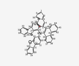 c1ccc2cc(-c3c(N(c4ccc5c(c4)oc4ccccc45)c4cccc5c4sc4ccccc45)c4ccccc4c4ccccc34)ccc2c1